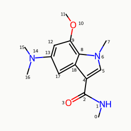 CNC(=O)c1cn(C)c2c(OC)cc(N(C)C)cc12